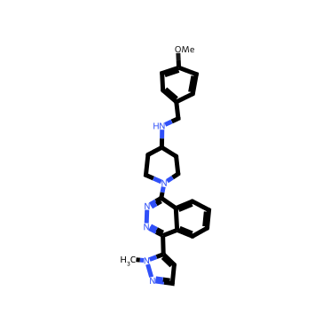 COc1ccc(CNC2CCN(c3nnc(-c4ccnn4C)c4ccccc34)CC2)cc1